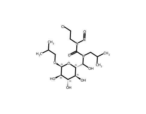 CC(C)CO[C@H]1O[C@H](C(O)N(CC(C)C)C(=O)N(CCCl)N=O)[C@@H](O)[C@H](O)[C@H]1O